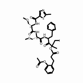 COC[C@H](NC(=O)c1cnc(C)s1)C(=O)N[C@@H](COC)C(=O)NC(Cc1ccccc1)C(=O)C(C)(CI)OC(=O)CCc1ccccc1OC(C)=O